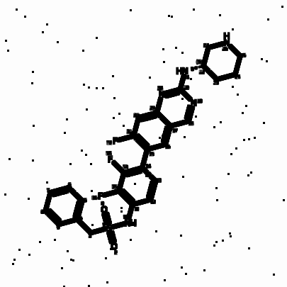 O=S(=O)(Cc1ccccc1)Nc1ccc(-c2cc3cnc(N[C@H]4CCCNC4)nc3cc2F)c(F)c1F